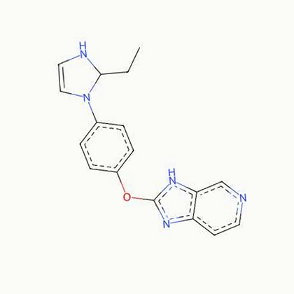 CCC1NC=CN1c1ccc(Oc2nc3ccncc3[nH]2)cc1